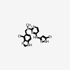 CCc1cc(Nc2ccnc(N(C)Cc3ccc4[nH]cnc4c3Cl)n2)n[nH]1